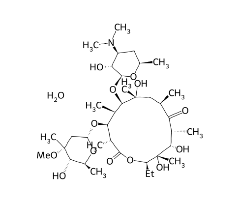 CC[C@H]1OC(=O)[C@H](C)[C@@H](O[C@H]2C[C@@](C)(OC)[C@@H](O)[C@H](C)O2)[C@@H](C)[C@@H](O[C@@H]2O[C@H](C)C[C@H](N(C)C)[C@H]2O)[C@](C)(O)C[C@@H](C)C(=O)[C@H](C)[C@H](O)[C@]1(C)O.O